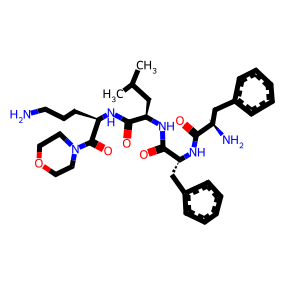 CC(C)C[C@@H](NC(=O)[C@@H](Cc1ccccc1)NC(=O)[C@H](N)Cc1ccccc1)C(=O)N[C@H](CCCN)C(=O)N1CCOCC1